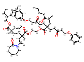 CCCCC(=O)C(C)CC(CCC(=O)CCOc1ccccc1)(CCC(=O)CCOc1ccccc1)C(=O)OCCOC(=O)C(C)(CCC(C)(CCC)C(=O)OCC(CC)CCCC)CC(C)N1CCCCCC1=O